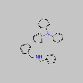 c1ccc(-n2c3ccccc3c3ccccc32)cc1.c1ccc(CNCc2ccccc2)cc1